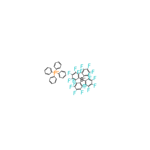 Fc1c(F)c(F)c([B-](c2c(F)c(F)c(F)c(F)c2F)(c2c(F)c(F)c(F)c(F)c2F)c2c(F)c(F)c(F)c(F)c2F)c(F)c1F.c1ccc([P+](c2ccccc2)(c2ccccc2)c2ccccc2)cc1